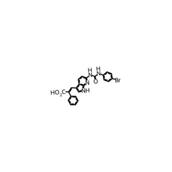 O=C(Nc1ccc(Br)cc1)Nc1ccc2c(C=C(C(=O)O)c3ccccc3)c[nH]c2n1